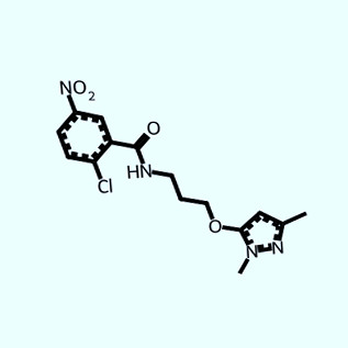 Cc1cc(OCCCNC(=O)c2cc([N+](=O)[O-])ccc2Cl)n(C)n1